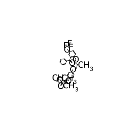 CCOC(=O)C(C)(C)Oc1ccc(OCC(C)COc2ccc(OC(F)(F)F)cc2C(=O)c2ccccc2)cc1